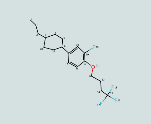 CCCC1CCC(c2ccc(OCCCC(F)(F)F)c(F)c2)CC1